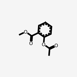 COC(=O)c1c[c]ccc1OC(C)=O